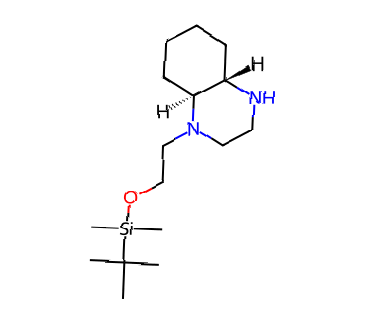 CC(C)(C)[Si](C)(C)OCCN1CCN[C@H]2CCCC[C@@H]21